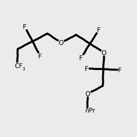 CCCOCC(F)(F)OC(F)(F)COCC(F)(F)CC(F)(F)F